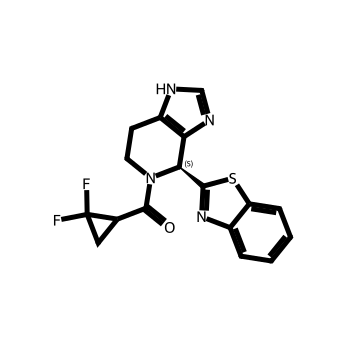 O=C(C1CC1(F)F)N1CCc2[nH]cnc2[C@H]1c1nc2ccccc2s1